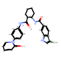 O=C(N[C@@H]1CCCCC1C(=O)Nc1ccc(-n2ccccc2=O)cc1)c1ccc2c(Cl)c[nH]c2c1